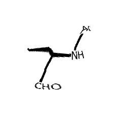 CC(=O)NC(C)C=O